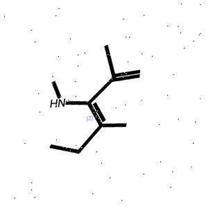 C=C(C)/C(NC)=C(\C)CC